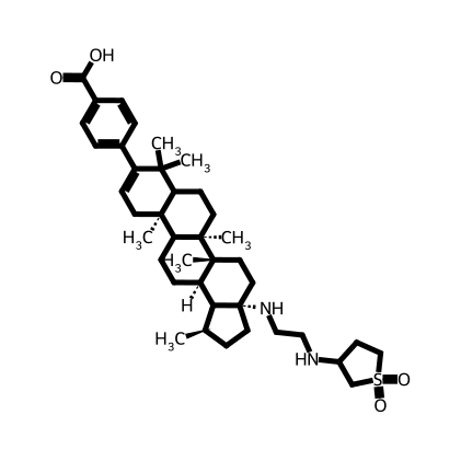 C[C@@H]1CC[C@]2(NCCNC3CCS(=O)(=O)C3)CC[C@]3(C)[C@H](CCC4[C@@]5(C)CC=C(c6ccc(C(=O)O)cc6)C(C)(C)C5CC[C@]43C)C12